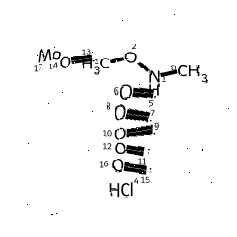 CNOC.Cl.[C]=O.[C]=O.[C]=O.[C]=O.[C]=O.[C]=O.[Mo]